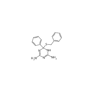 NC1=NC(SCc2ccccc2)(c2ccccc2)NC(N)=N1